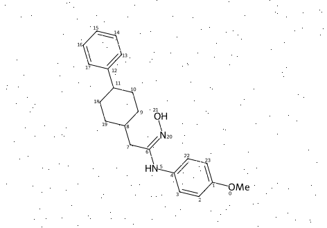 COc1ccc(NC(CC2CCC(c3ccccc3)CC2)=NO)cc1